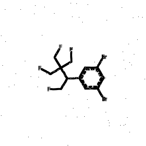 FCC(c1cc(Br)[c]c(Br)c1)C(CF)(CF)CF